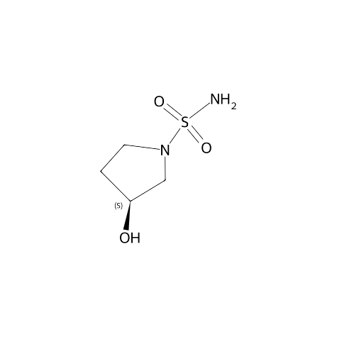 NS(=O)(=O)N1CC[C@H](O)C1